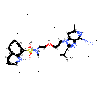 COC(C)c1nc2c(N)nc(C)cc2n1CCOCCN(C)S(=O)(=O)c1cccc2cccnc12